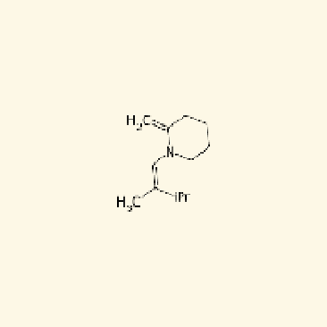 C=C1CCCCN1/C=C(/C)C(C)C